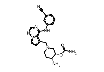 N#Cc1cccc(Nc2ncnn3ccc(CN4CC[C@@H](N)[C@@H](OC(N)=O)C4)c23)c1